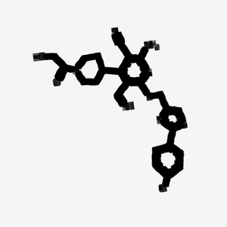 N#Cc1c(N)nc(SCc2csc(-c3ccc(Cl)cc3)n2)c(C=N)c1C1CCN(C(=O)CO)CC1